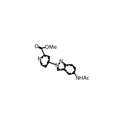 COC(=O)c1cc(-n2cc3cc(NC(C)=O)ccc3n2)ccn1